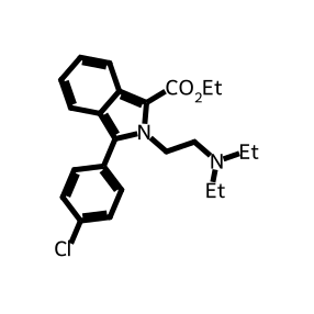 CCOC(=O)c1c2ccccc2c(-c2ccc(Cl)cc2)n1CCN(CC)CC